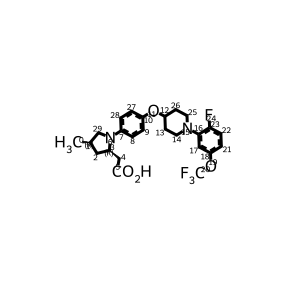 C[C@@H]1C[C@H](CC(=O)O)N(c2ccc(OC3CCN(c4cc(OC(F)(F)F)ccc4F)CC3)cc2)C1